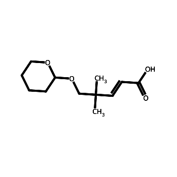 CC(C)(/C=C/C(=O)O)COC1CCCCO1